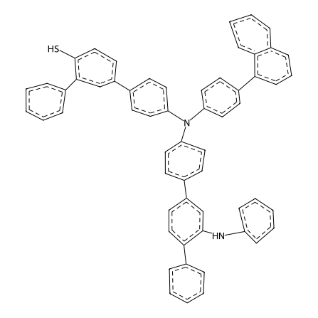 Sc1ccc(-c2ccc(N(c3ccc(-c4ccc(-c5ccccc5)c(Nc5ccccc5)c4)cc3)c3ccc(-c4cccc5ccccc45)cc3)cc2)cc1-c1ccccc1